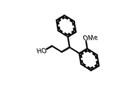 COc1ccccc1C(CCO)c1ccccc1